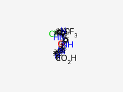 O=C(N[C@@H]1CCC[C@H](Nc2cc(C(F)(F)F)nc3ccc(Cl)cc23)C1)c1cnn([C@@H]2CCCN(C(=O)O)C2)c1